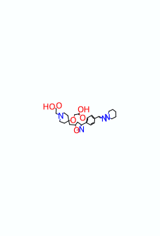 O=C(O)COC1(CC2CC(c3ccc(C=NN4CCCCC4)cc3)=NO2)CCN(CC(=O)O)CC1